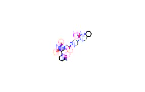 Cc1cccc(-c2cn(CC(=O)N3CCC(N4CCc5ccccc5NC4=O)CC3)c(=O)n(C)c2=O)[n+]1[O-]